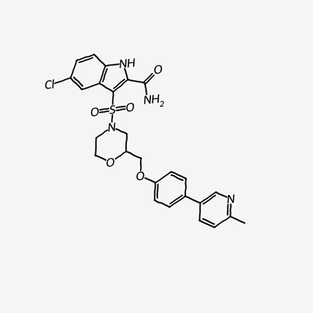 Cc1ccc(-c2ccc(OCC3CN(S(=O)(=O)c4c(C(N)=O)[nH]c5ccc(Cl)cc45)CCO3)cc2)cn1